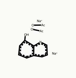 CC(=O)[O-].CC(=O)[O-].Oc1cccc2cccnc12.[Na+].[Na+]